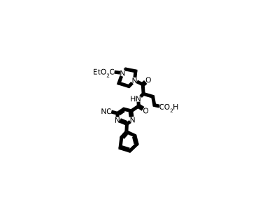 CCOC(=O)N1CCN(C(=O)C(CCC(=O)O)NC(=O)c2cc(C#N)nc(-c3ccccc3)n2)CC1